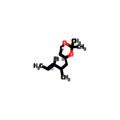 C/C=C(\CC)C(C)C[C@H]1CCOC(C)(C)O1